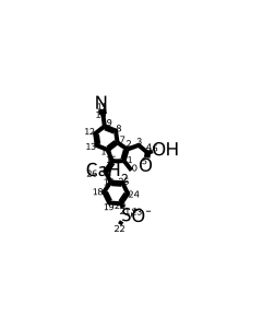 CC1=C(CC(=O)O)c2cc(C#N)ccc2C1=Cc1ccc([S+](C)[O-])cc1.[CaH2]